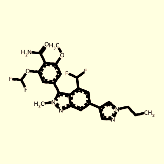 CCCn1cc(-c2cc(C(F)F)c3c(-c4cc(OC)c(C(N)=O)c(OC(F)F)c4)n(C)nc3c2)cn1